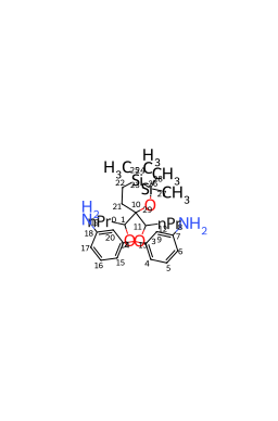 CCCC(Oc1cccc(N)c1)C1(C(CCC)Oc2cccc(N)c2)CC[Si](C)(C)[Si](C)(C)O1